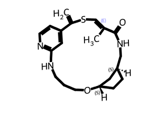 C=C1S/C=C(\C)C(=O)NC[C@H]2CC[C@@H](C2)OCCCNc2cc1ccn2